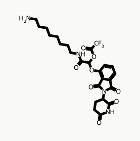 NCCCCCCCCNC(=O)C(OC(=O)C(F)(F)F)Oc1cccc2c1C(=O)N(C1CCC(=O)NC1=O)C2=O